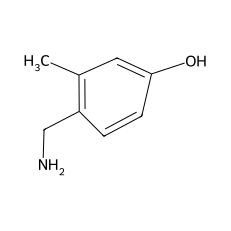 Cc1cc(O)ccc1CN